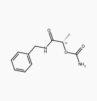 C[C@H](OC(N)=O)C(=O)NCc1ccccc1